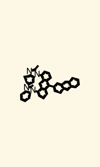 Cc1nc2ccccc2n1-c1cccc2c(-c3ccc4cc5ccccc5cc4c3)c3cccc(-n4c(C)nc5ccccc54)c3cc12